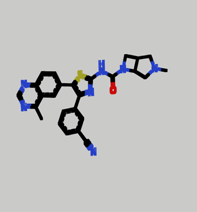 Cc1ncnc2ccc(-c3sc(NC(=O)N4CC5CN(C)CC54)nc3-c3cccc(C#N)c3)cc12